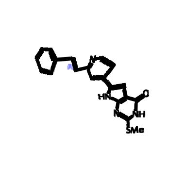 CSc1nc2[nH]c(-c3ccnc(/C=C/c4ccccc4)c3)cc2c(=O)[nH]1